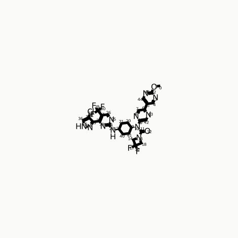 COc1ncc(-c2cnc(N(C(=O)N3CC(F)(F)C3)[C@H]3CC[C@H](Nc4ncc(C(F)(F)F)c(-c5n[nH]cc5Cl)n4)CC3)cn2)cn1